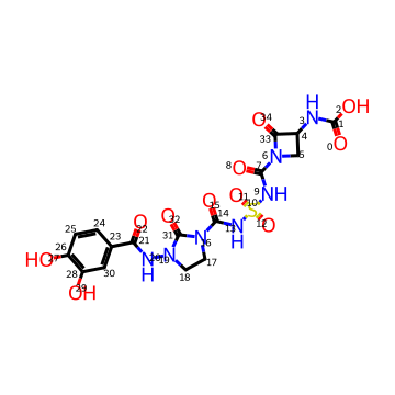 O=C(O)NC1CN(C(=O)NS(=O)(=O)NC(=O)N2CCN(NC(=O)c3ccc(O)c(O)c3)C2=O)C1=O